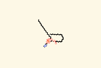 CCCCCCCC/C=C\C/C=C\C/C=C\CCCC(=O)OC[C@H](COP(=O)([O-])OCC[N+](C)(C)C)OC(=O)CCCCCCCCCCCCCCCCC